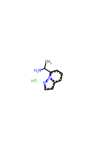 CC(N)c1cccc2ccnn12.Cl